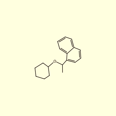 CC(OC1CCCCC1)c1cccc2ccccc12